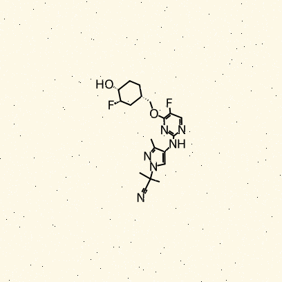 Cc1nn(C(C)(C)C#N)cc1Nc1ncc(F)c(OC[C@H]2CC[C@@H](O)[C@H](F)C2)n1